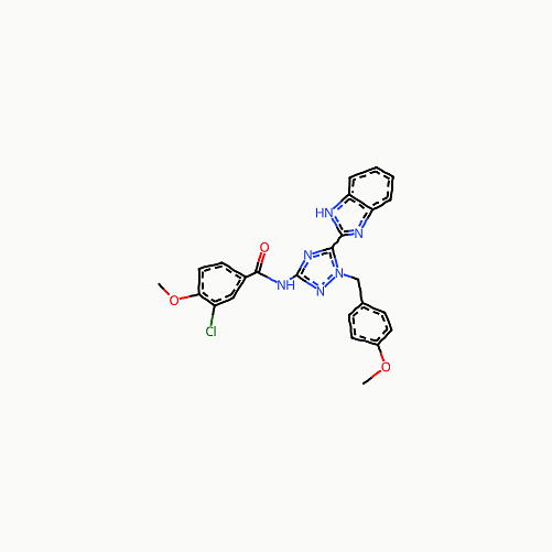 COc1ccc(Cn2nc(NC(=O)c3ccc(OC)c(Cl)c3)nc2-c2nc3ccccc3[nH]2)cc1